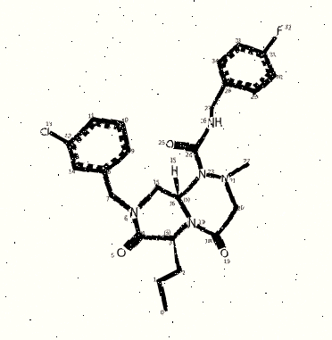 CCC[C@H]1C(=O)N(Cc2cccc(Cl)c2)C[C@H]2N1C(=O)CN(C)N2C(=O)NCc1ccc(F)cc1